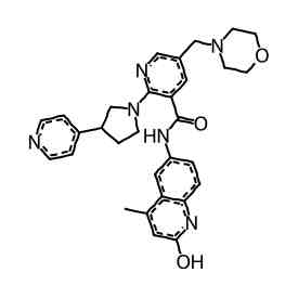 Cc1cc(O)nc2ccc(NC(=O)c3cc(CN4CCOCC4)cnc3N3CCC(c4ccncc4)C3)cc12